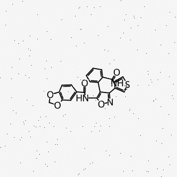 NC(=O)c1ccccc1-c1c(-c2ccsc2)noc1NC(=O)c1ccc2c(c1)OCO2